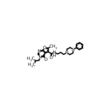 Cc1oc2ncn(CC(C)C)c(=O)c2c1C(=O)NCCCN1CCN(c2ccccc2)CC1